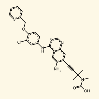 CN(C(=O)O)C(C)(C)C#Cc1cc2ncnc(Nc3ccc(OCc4ccccn4)c(Cl)c3)c2cc1N